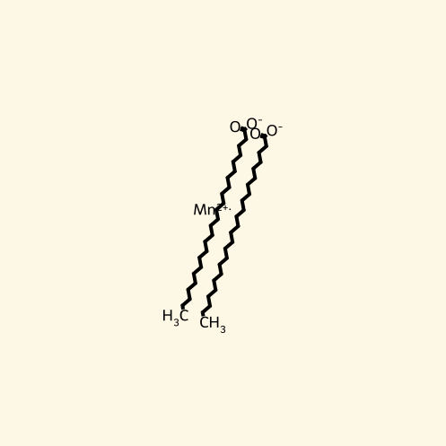 CCCCCCCCCCCCCCCCCCCCCCCC(=O)[O-].CCCCCCCCCCCCCCCCCCCCCCCC(=O)[O-].[Mn+2]